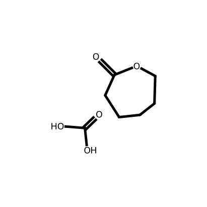 O=C(O)O.O=C1CCCCCO1